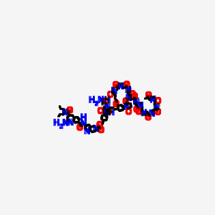 CCCN(CCC)C(=O)C1=Cc2ccc(C(=O)Nc3cnc4c(c3)CN(C(=O)OCc3ccc(NC(=O)[C@H](CC(N)=O)NC(=O)CCc5ccc(N6C(=O)C=CC6=O)cc5OCCCC(=O)N(C)CC(=O)N(C)CC(=O)N(C)CC(=O)N(C)CC(=O)N(C)CC(=O)N(C)CC(=O)N(C)CC(=O)N(C)CC(=O)N(C)CC(=O)N(C)CC(C)=O)cc3)CC4)cc2N=C(N)C1